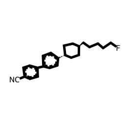 N#Cc1ccc(-c2ccc([C@H]3CC[C@H](CCCCCF)CC3)cc2)cc1